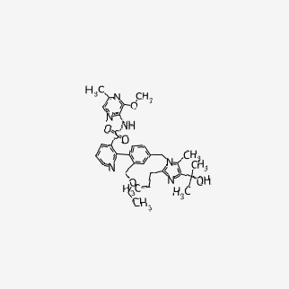 CCCc1nc(C(C)(C)O)c(C)n1Cc1ccc(-c2ncccc2S(=O)(=O)Nc2ncc(C)nc2OC)c(COCC)c1